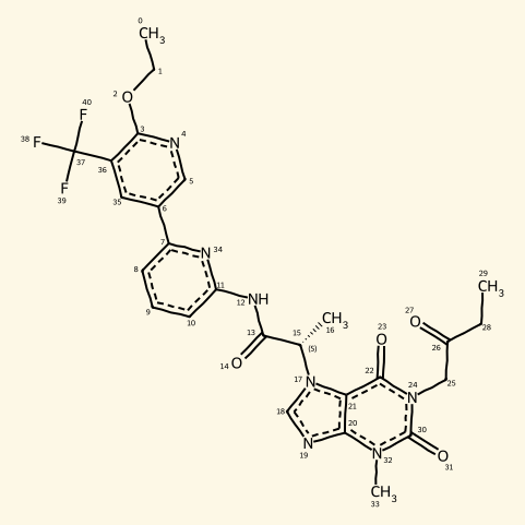 CCOc1ncc(-c2cccc(NC(=O)[C@H](C)n3cnc4c3c(=O)n(CC(=O)CC)c(=O)n4C)n2)cc1C(F)(F)F